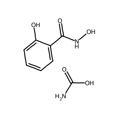 NC(=O)O.O=C(NO)c1ccccc1O